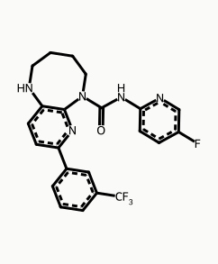 O=C(Nc1ccc(F)cn1)N1CCCCNc2ccc(-c3cccc(C(F)(F)F)c3)nc21